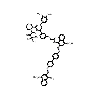 CCC(C)(C)C(=O)C(=O)N1CCCCC1C(=O)OC(CCc1ccc(OC)c(OC)c1)c1cccc(OCC(=O)Nc2c(/N=N/c3ccc(-c4ccc(/N=N/c5cc(S(=O)(=O)O)c6ccccc6c5N)cc4)cc3)cc(S(=O)(=O)O)c3ccccc23)c1